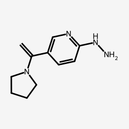 C=C(c1ccc(NN)nc1)N1CCCC1